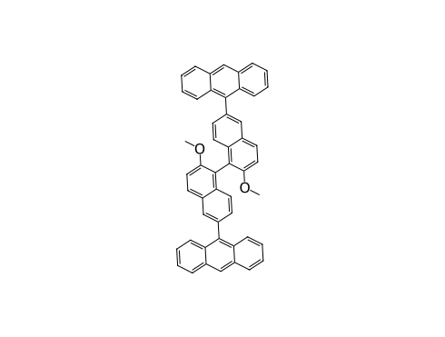 COc1ccc2cc(-c3c4ccccc4cc4ccccc34)ccc2c1-c1c(OC)ccc2cc(-c3c4ccccc4cc4ccccc34)ccc12